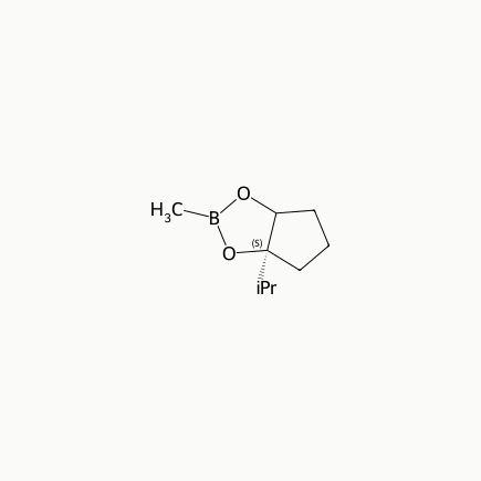 CB1OC2CCC[C@@]2(C(C)C)O1